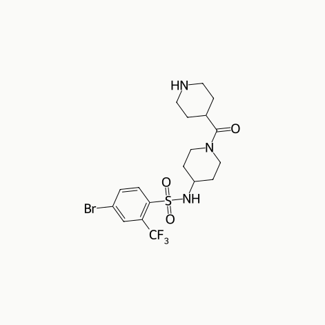 O=C(C1CCNCC1)N1CCC(NS(=O)(=O)c2ccc(Br)cc2C(F)(F)F)CC1